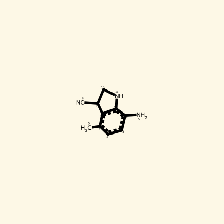 Cc1ccc(N)c2c1C(C#N)CN2